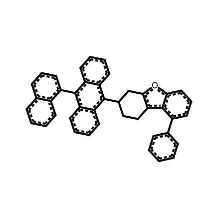 c1ccc(-c2cccc3oc4c(c23)CCC(c2c3ccccc3c(-c3cccc5ccccc35)c3ccccc23)C4)cc1